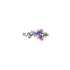 Cc1ccc(NC(=S)NNc2c([N+](=O)[O-])cc(C(F)(F)F)cc2[N+](=O)[O-])cc1Cl